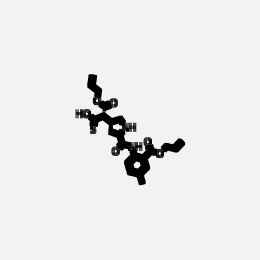 C=CCOC(=O)c1cc(C)ccc1NC(=O)C1C[C@@H]([C@@H](C(=O)OCC=C)C(O)=S)CN1